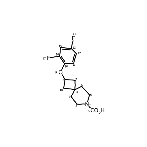 O=C(O)N1CCC2(CC1)CC(Oc1ccc(F)cc1F)C2